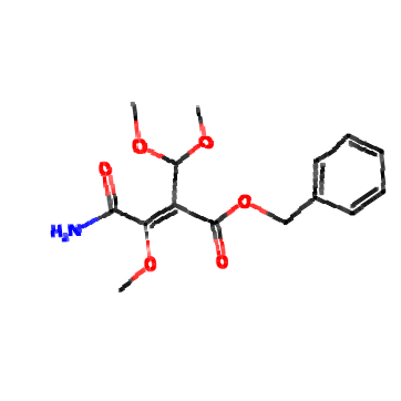 CO/C(C(N)=O)=C(\C(=O)OCc1ccccc1)C(OC)OC